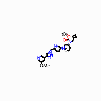 COc1cncc(-c2cn(Cc3ccc(N4CCC[C@@H](N(CC5CCC5)C(=O)OC(C)(C)C)C4)cn3)nn2)c1